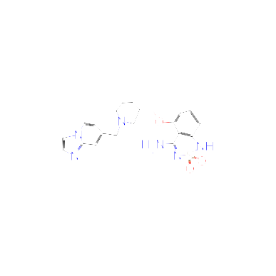 NC1=NS(=O)(=O)Nc2cccc(OC[C@H]3CCCN(Cc4ccn5ccnc5c4)C3)c21